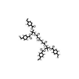 CCC1CCC(C(=O)OCC(C)(COC(=O)CCNCCC(=O)OCC(C)(COC(=O)C2CCC(CC)CC2)COC(=O)C2CCC(CC)CC2)COC(=O)C2CCC(CC)CC2)CC1